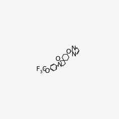 O=C1N(c2ccc(OC(F)(F)F)cc2)CCC12CCC(Oc1ncccn1)CC2